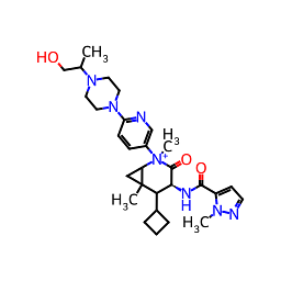 CC(CO)N1CCN(c2ccc([N+]3(C)C(=O)[C@@H](NC(=O)c4ccnn4C)C(C4CCC4)C4(C)CC43)cn2)CC1